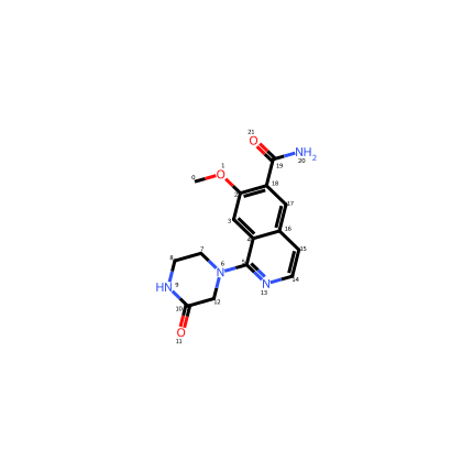 COc1cc2c(N3CCNC(=O)C3)nccc2cc1C(N)=O